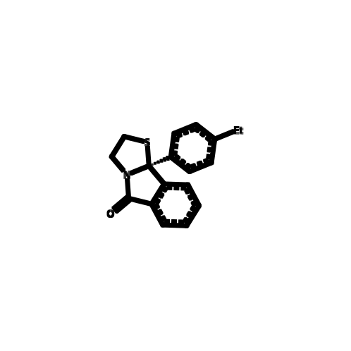 CCc1ccc([C@@]23SCCN2C(=O)c2ccccc23)cc1